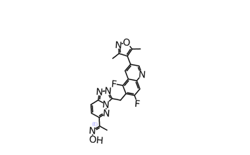 C/C(=N\O)c1ccc2nnc(Cc3c(F)cc4ncc(-c5c(C)noc5C)cc4c3F)n2n1